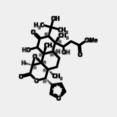 COC(=O)CC(O)[C@]1(C)[C@H]2CC[C@@]3(C)[C@H](c4ccoc4)OC(=O)[C@H]4O[C@]43[C@]2(C)C(O)C(=O)[C@H]1C(C)(C)O